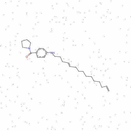 C=CCCCCCCCCC=CCCCNc1ccc(C(=O)N2CCCC2)cc1